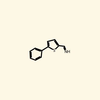 N=Cc1ccc(-c2ccccc2)s1